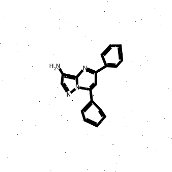 Nc1cnn2c(-c3ccccc3)cc(-c3ccccc3)nc12